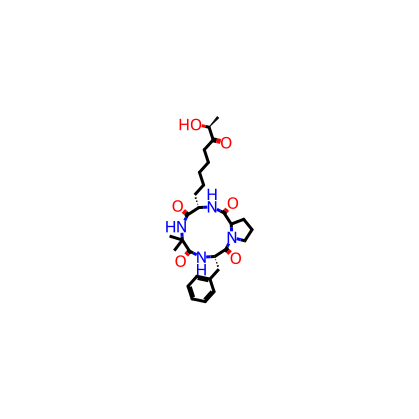 C[C@H](O)C(=O)CCCCC[C@@H]1NC(=O)C2CCCN2C(=O)[C@H](Cc2ccccc2)NC(=O)C(C)(C)NC1=O